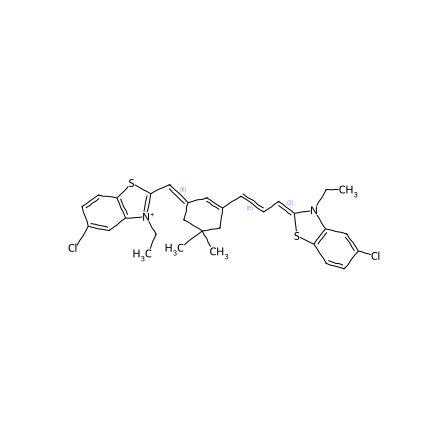 CCN1/C(=C/C=C/C2=CC(=C/c3sc4ccc(Cl)cc4[n+]3CC)/CC(C)(C)C2)Sc2ccc(Cl)cc21